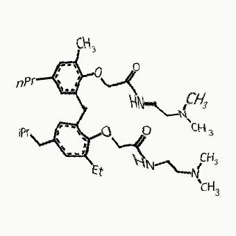 CCCc1cc(C)c(OCC(=O)NCCN(C)C)c(Cc2cc(CC(C)C)cc(CC)c2OCC(=O)NCCN(C)C)c1